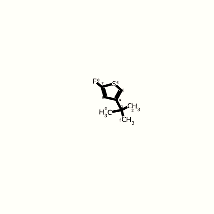 CC(C)(C)c1csc(F)c1